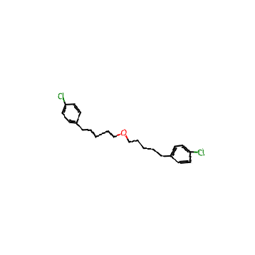 Clc1ccc(CCCCCOCCCCCc2ccc(Cl)cc2)cc1